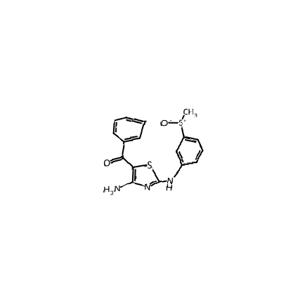 C[S+]([O-])c1cccc(Nc2nc(N)c(C(=O)c3ccccc3)s2)c1